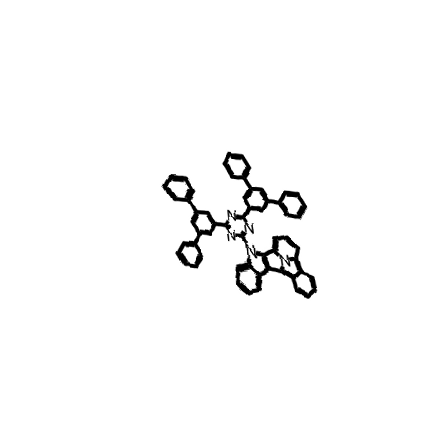 c1ccc(-c2cc(-c3ccccc3)cc(-c3nc(-c4cc(-c5ccccc5)cc(-c5ccccc5)c4)nc(-n4c5ccccc5c5c4c4cccc6c7ccccc7c5n64)n3)c2)cc1